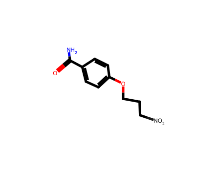 NC(=O)c1ccc(OCCC[N+](=O)[O-])cc1